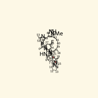 C=C1/N=C2\Nc3ccc(CN4C5CCC4CN(C(=C)C4CCN(c6cc(F)cc(F)c6)C4)C5)cc3N2C[C@H](C)CCCC/C(NC)=C(/C=N)c2cc1cc(C)n2